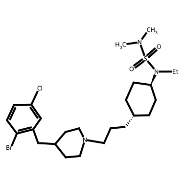 CCN([C@H]1CC[C@H](CCCN2CCC(Cc3cc(Cl)ccc3Br)CC2)CC1)S(=O)(=O)N(C)C